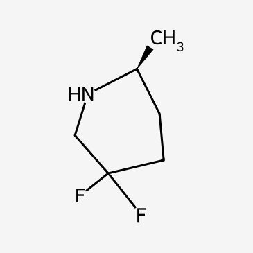 C[C@H]1CCC(F)(F)CN1